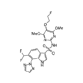 COc1nc(NS(=O)(=O)c2c[nH]c3c(-n4nccn4)c(C(F)F)ccc23)nc(OC)c1OCCF